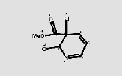 COC(=O)C1(Cl)C=CC=NC1Cl